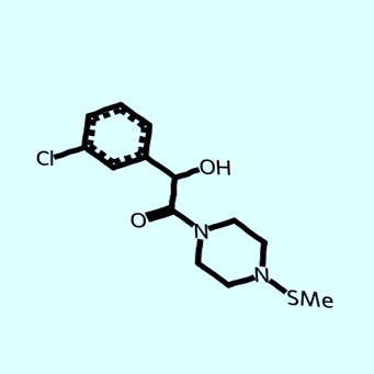 CSN1CCN(C(=O)C(O)c2cccc(Cl)c2)CC1